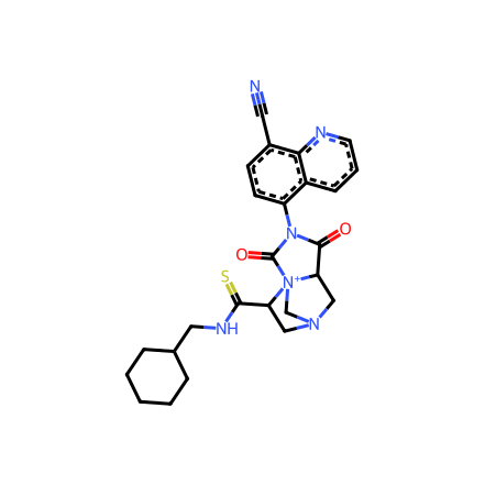 N#Cc1ccc(N2C(=O)C3CN4CC(C(=S)NCC5CCCCC5)[N+]3(C4)C2=O)c2cccnc12